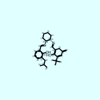 C=C1C=C(C(C)(C)C)C(O)=C(C=N[C@H]2CCCC[C@@H]2N=Cc2cccc(CC(C)C)c2O)C1